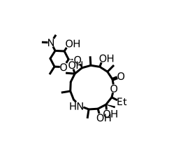 CCC1OC(=O)C(C)C(O)C(C)[C@H](O[C@@H]2OC(C)CC(N(C)C)C2O)C(C)(O)CC(C)CNC(C)C(O)[C@@]1(C)O